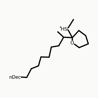 CCCCCCCCCCCCCCCCCC(C)C1([SiH](C)C)CCCCO1